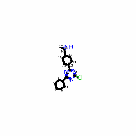 Clc1nc(-c2ccccc2)nc(-c2ccc(C3CN3)cc2)n1